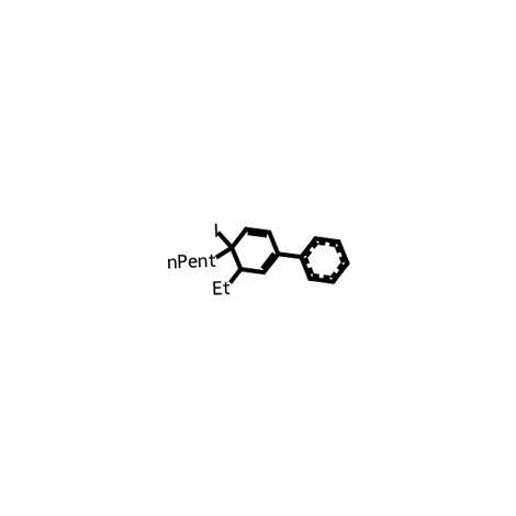 CCCCCC1(I)C=CC(c2ccccc2)=CC1CC